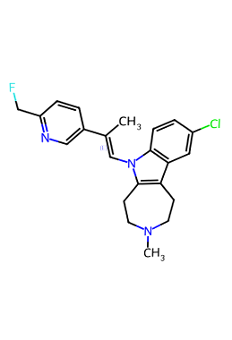 C/C(=C\n1c2c(c3cc(Cl)ccc31)CCN(C)CC2)c1ccc(CF)nc1